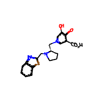 O=C(O)c1cn(C[C@@H]2CCCN2Cc2nc3ccccc3s2)cc(O)c1=O